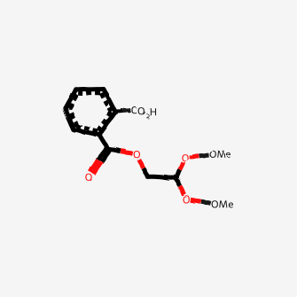 COOC(COC(=O)c1ccccc1C(=O)O)OOC